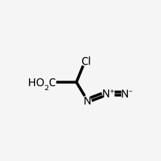 [N-]=[N+]=NC(Cl)C(=O)O